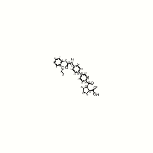 CCOc1ccccc1CC(=O)Nc1ccc(-c2ccc(C(=O)C3CCCC3C(=O)O)nc2)cc1